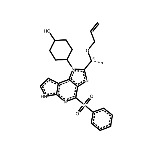 C=CCO[C@H](C)c1nc2c(S(=O)(=O)c3ccccc3)nc3[nH]ccc3c2n1C1CCC(O)CC1